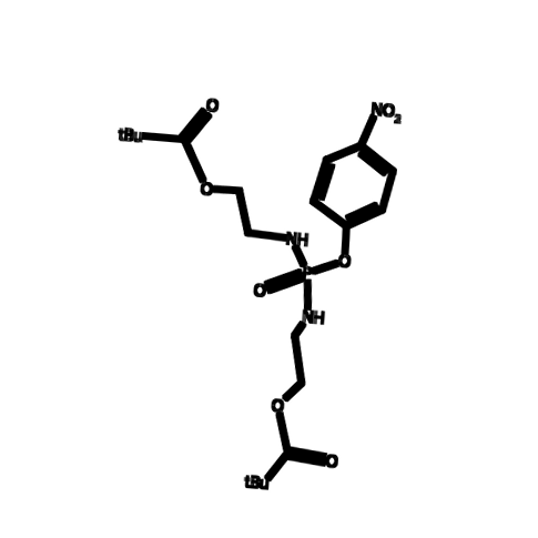 CC(C)(C)C(=O)OCCNP(=O)(NCCOC(=O)C(C)(C)C)Oc1ccc([N+](=O)[O-])cc1